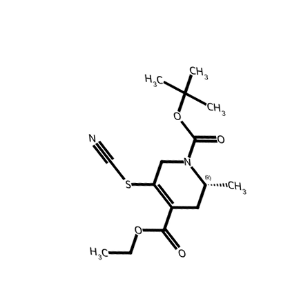 CCOC(=O)C1=C(SC#N)CN(C(=O)OC(C)(C)C)[C@H](C)C1